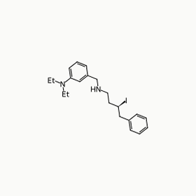 CCN(CC)c1cccc(CNCC[C@@H](I)Cc2ccccc2)c1